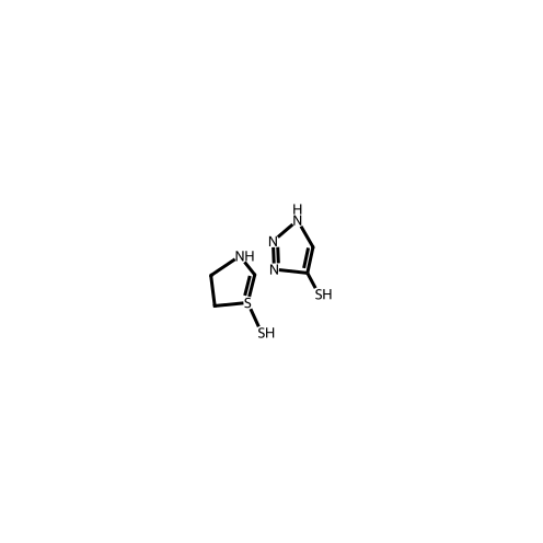 SS1=CNCC1.Sc1c[nH]nn1